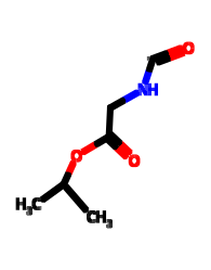 CC(C)OC(=O)CN[C]=O